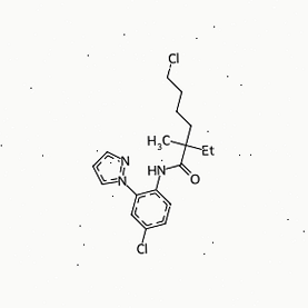 CCC(C)(CCCCCl)C(=O)Nc1ccc(Cl)cc1-n1cccn1